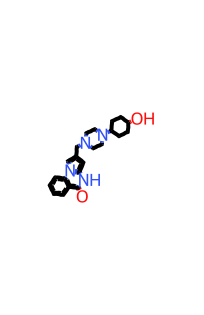 O=c1[nH]c2cc(CN3CCN(C4CCC(O)CC4)CC3)cn2c2ccccc12